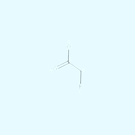 [O]C(=O)CF